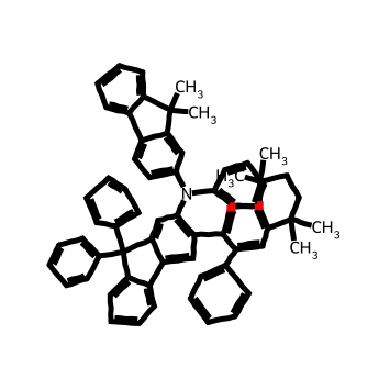 CC1(C)CCC(C)(C)c2cc(-c3cc4c(cc3N(c3ccccc3)c3ccc5c(c3)C(C)(C)c3ccccc3-5)C(c3ccccc3)(c3ccccc3)c3ccccc3-4)c(-c3ccccc3)cc21